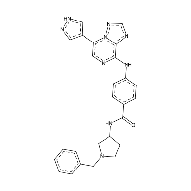 O=C(NC1CCN(Cc2ccccc2)C1)c1ccc(Nc2ncc(-c3cn[nH]c3)n3ncnc23)cc1